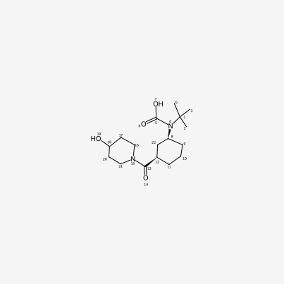 CC(C)(C)N(C(=O)O)[C@H]1CCC[C@@H](C(=O)N2CCC(O)CC2)C1